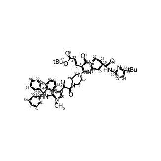 Cn1cc(C(=O)C(=O)N2CCN(c3nc4cc(C(=O)Nc5nc(C(C)(C)C)cs5)ccn4c(=O)c3C=CC(=O)OC(C)(C)C)CC2)nc1NC(c1ccccc1)(c1ccccc1)c1ccccc1